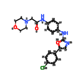 O=C(CN1CCOCC1)Nc1ccc(Nc2ncc(-c3ccc(Cl)cc3)o2)cc1